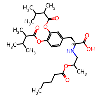 CCCCC(=O)OC(C)CN[C@@H](Cc1ccc(OC(=O)C(C)C(C)C)c(OC(=O)C(C)C(C)C)c1)C(=O)O